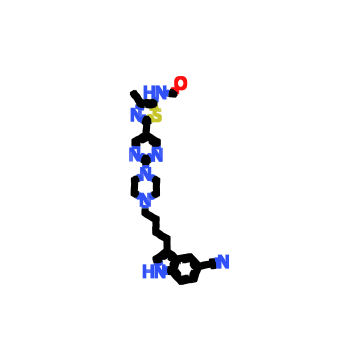 Cc1nc(-c2cnc(N3CCN(CCCCc4c[nH]c5ccc(C#N)cc45)CC3)nc2)sc1NC=O